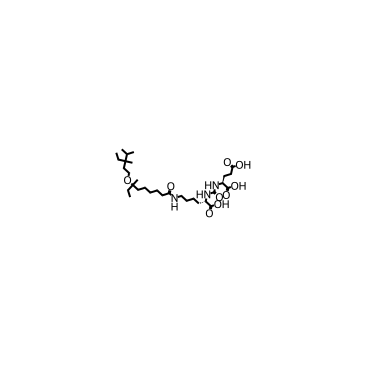 CCC(C)(CCCCCC(=O)NCCCC[C@H](NC(=O)N[C@@H](CCC(=O)O)C(=O)O)C(=O)O)OCCC(C)(CC)C(C)C